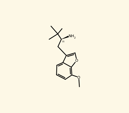 COc1cccc2c(C[C@H](N)C(C)(C)C)coc12